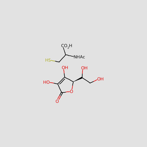 CC(=O)NC(CS)C(=O)O.O=C1O[C@H](C(O)CO)C(O)=C1O